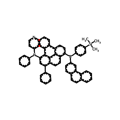 C[Si](C)(C)c1ccc(B(c2ccc3ccc4ccccc4c3c2)c2ccc3c4ccccc4c4c(N(c5ccccc5)c5ccncc5)cc(-c5ccccc5)c5ccc2c3c54)cc1